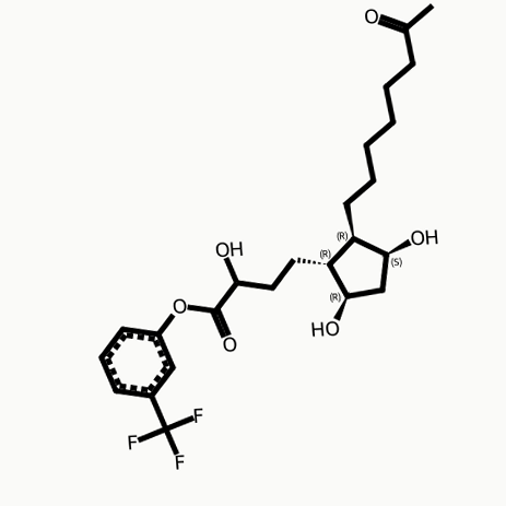 CC(=O)CCCCCC[C@@H]1[C@@H](CCC(O)C(=O)Oc2cccc(C(F)(F)F)c2)[C@H](O)C[C@@H]1O